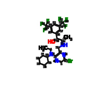 CCN(c1ncc(Br)nc1CN[C@@H](C)[C@H](O)c1cc(C(F)(F)F)cc(C(F)(F)F)c1)C1CCCCC1